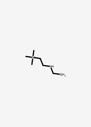 C[N+](C)(C)CCNC[SiH3]